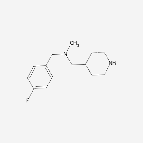 CN(Cc1ccc(F)cc1)CC1CCNCC1